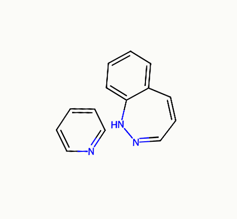 C1=Cc2ccccc2NN=C1.c1ccncc1